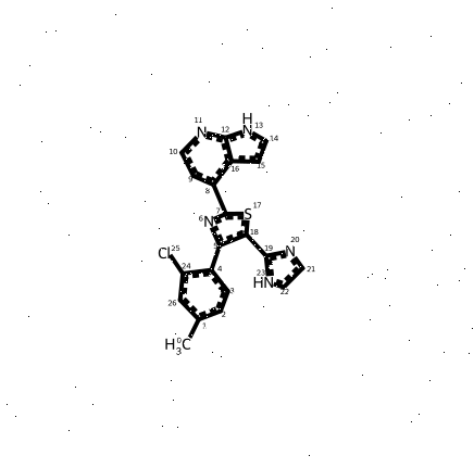 Cc1ccc(-c2nc(-c3ccnc4[nH]ccc34)sc2-c2ncc[nH]2)c(Cl)c1